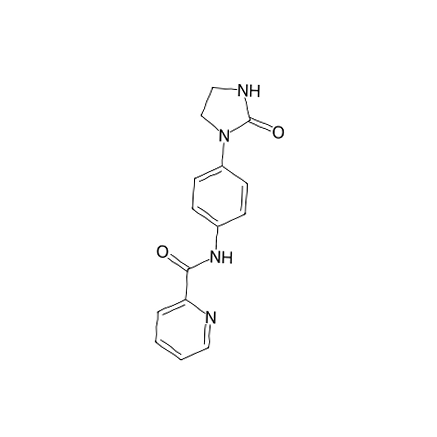 O=C(Nc1ccc(N2CCNC2=O)cc1)c1ccccn1